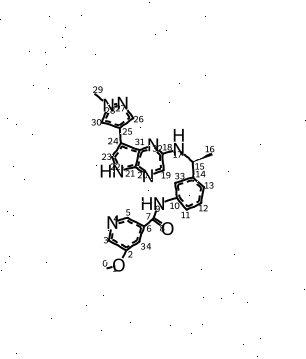 COc1cncc(C(=O)Nc2cccc([C@H](C)Nc3cnc4[nH]cc(-c5cnn(C)c5)c4n3)c2)c1